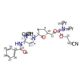 C/N=C(\C=C/N(C=O)C1CCC(COP(OCCC#N)N(C(C)C)C(C)C)O1)NC(=O)c1ccccc1